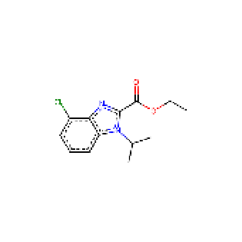 CCOC(=O)c1nc2c(Cl)cccc2n1C(C)C